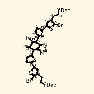 CCCCCCCCCCCCc1cc(-c2ccc(-c3c(F)c(F)c(-c4ccc(-c5cc(CCCCCCCCCCCC)c(Br)s5)s4)c4nsnc34)s2)sc1Br